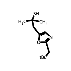 CC(C)(C)Cc1ncc(CC(C)(C)S)o1